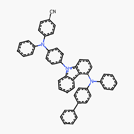 N#Cc1ccc(N(c2ccccc2)c2ccc(-n3c4ccccc4c4c(N(c5ccccc5)c5ccc(-c6ccccc6)cc5)cccc43)cc2)cc1